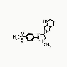 CN1CC(c2ccc(S(C)(=O)=O)cc2)NC(N2CC3CCCNC3C2)C1